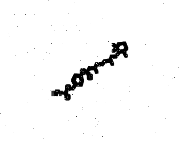 CCCC(=O)OCc1ccc(OC(=O)/C=C(C)/C=C/C=C(C)/C=C/C2=C(C)CCCC2(C)C)cc1